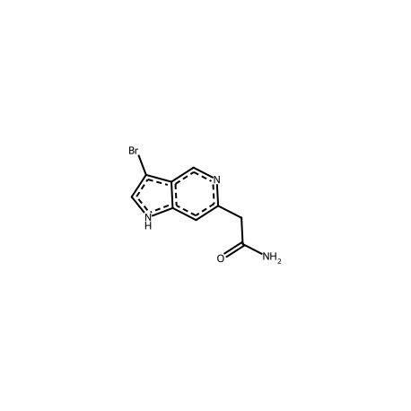 NC(=O)Cc1cc2[nH]cc(Br)c2cn1